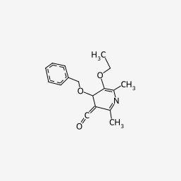 CCOC1=C(C)N=C(C)C(=C=O)C1OCc1ccccc1